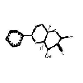 CC(=O)O[C@@H]1C(=O)C(O)O[C@@H]2COC(c3ccccc3)O[C@H]12